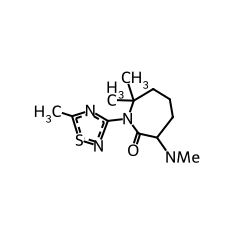 CNC1CCCC(C)(C)N(c2nsc(C)n2)C1=O